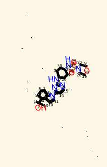 CC(C)(O)c1cccc2c1ccn2-c1ccnc(N[C@H]2CC[C@H](NS(=O)(=O)N3CCOCC3)CC2)n1